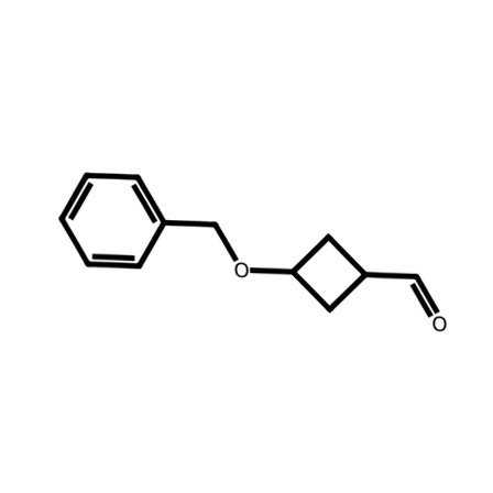 O=CC1CC(OCc2ccccc2)C1